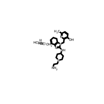 Cc1ccc(O)c(Cn2c(NC3CCN(CCN)CC3)nc3c2CCC=C3)n1.Cl.Cl.Cl.Cl.O